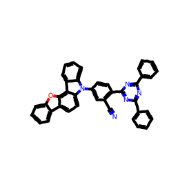 N#Cc1cc(-n2c3ccccc3c3c4oc5ccccc5c4ccc32)ccc1-c1nc(-c2ccccc2)nc(-c2ccccc2)n1